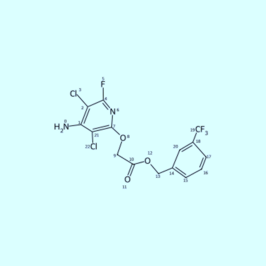 Nc1c(Cl)c(F)nc(OCC(=O)OCc2cccc(C(F)(F)F)c2)c1Cl